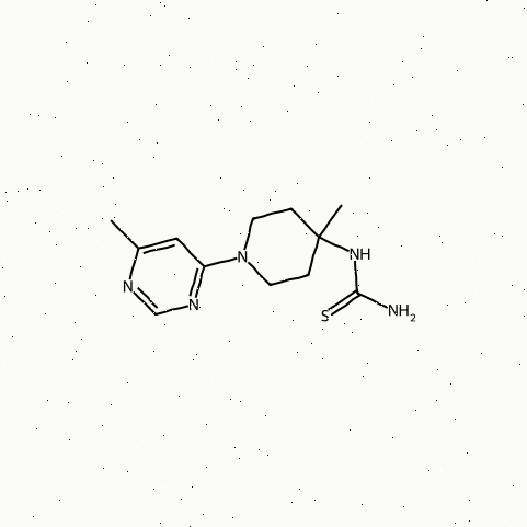 Cc1cc(N2CCC(C)(NC(N)=S)CC2)ncn1